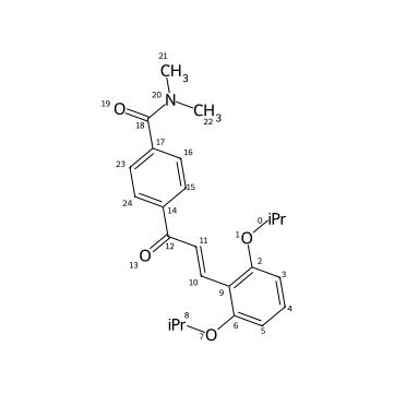 CC(C)Oc1cccc(OC(C)C)c1C=CC(=O)c1ccc(C(=O)N(C)C)cc1